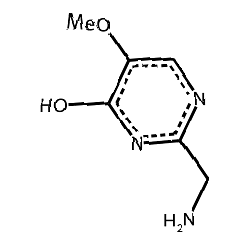 COc1cnc(CN)nc1O